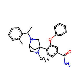 Cc1ccccc1C(C)N1CC2(c3ccc(C(N)=O)cc3Oc3ccccc3)CC1CN2C(=O)O